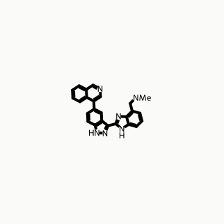 CNCc1cccc2[nH]c(-c3n[nH]c4ccc(-c5cncc6ccccc56)cc34)nc12